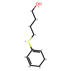 OCCCCSC1=CC[CH]C=C1